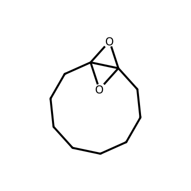 C1CCCCC23OC2(CCC1)O3